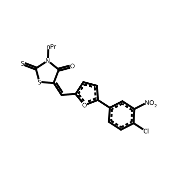 CCCN1C(=O)/C(=C\c2ccc(-c3ccc(Cl)c([N+](=O)[O-])c3)o2)SC1=S